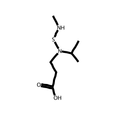 CNSN(CCC(=O)O)C(C)C